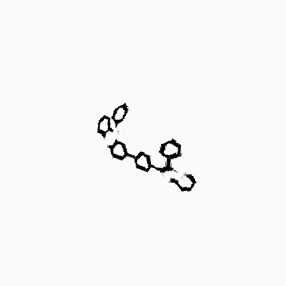 O=P1(c2ccccc2)c2ccccc2Oc2ccc(-c3ccc(-c4nc5ccccn5c4-c4ccccc4)cc3)cc21